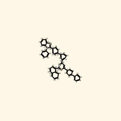 c1ccc(-c2ccc(-c3cc(-c4cccc(-c5ccc(-c6nc7ccccc7n6-c6ccccc6)cc5)c4)nc(-c4cccc5ccccc45)n3)cc2)cc1